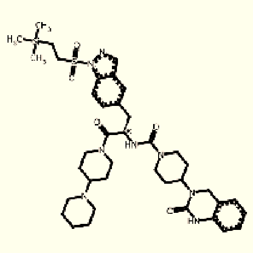 C[Si](C)(C)CCS(=O)(=O)n1ncc2cc(C[C@@H](NC(=O)N3CCC(N4Cc5ccccc5NC4=O)CC3)C(=O)N3CCC(N4CCCCC4)CC3)ccc21